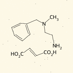 CN(CCN)Cc1ccccc1.O=C(O)C=CC(=O)O